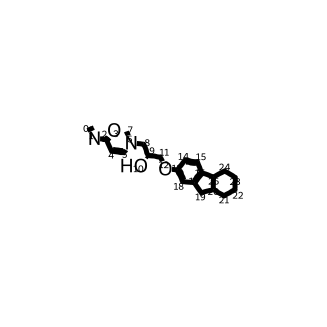 C=NC(=O)/C=C\N(C)C[C@H](O)COc1ccc2c(c1)CC1CCCCC21